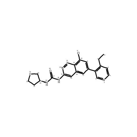 CCc1ccncc1-c1cc(Cl)c2nnc(NC(=O)N[C@H]3CCOC3)cc2c1